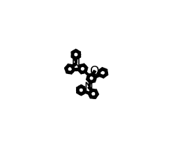 c1ccc(-n2c3ccccc3c3cc(-c4cc(-n5c6ccccc6c6ccccc65)cc5c4oc4ccccc45)ccc32)cc1